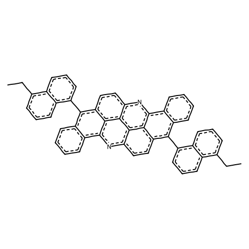 CCc1cccc2c(-c3c4ccccc4c4nc5ccc6c(-c7cccc8c(CC)cccc78)c7ccccc7c7nc8ccc3c4c8c5c67)cccc12